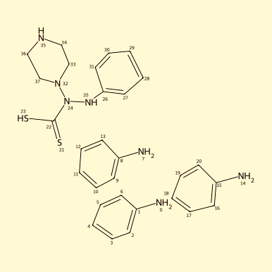 Nc1ccccc1.Nc1ccccc1.Nc1ccccc1.S=C(S)N(Nc1ccccc1)N1CCNCC1